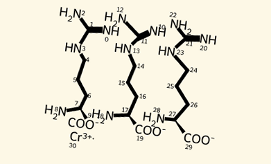 N=C(N)NCCC[C@H](N)C(=O)[O-].N=C(N)NCCC[C@H](N)C(=O)[O-].N=C(N)NCCC[C@H](N)C(=O)[O-].[Cr+3]